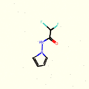 O=C(Nn1cccc1)C(F)F